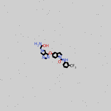 NC(O)CN1Cc2ncnc(Oc3ccc4c(ccn4C(=O)Nc4cccc(C(F)(F)F)c4)c3)c2C1